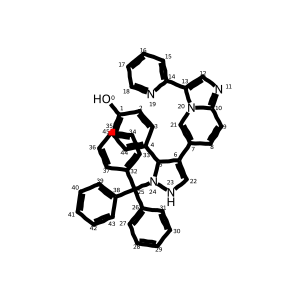 Oc1ccc(C2C(c3ccc4ncc(-c5ccccn5)n4c3)=CNN2C(c2ccccc2)(c2ccccc2)c2ccccc2)cc1